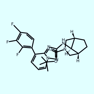 CC(C)(C)OC(=O)N1C[C@H]2CC[C@@H](C1)[C@@H]2Nc1nc2c(-c3ccc(F)c(F)c3F)cccn2n1